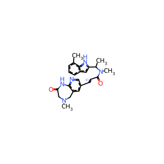 Cc1cccc2cc(C(C)N(C)C(=O)/C=C/c3cnc4c(c3)CN(C)CC(=O)N4)[nH]c12